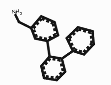 NCc1cccc(-c2ccccc2-c2ccccc2)c1